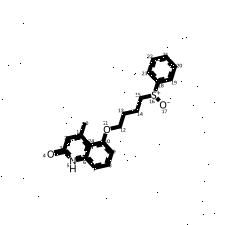 Cc1cc(=O)[nH]c2cccc(OCCCC[S+]([O-])c3ccccc3)c12